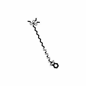 CCO[Si](CCCCCCCCCCCCSSSSSSSc1nc2ccccc2s1)(OCC)OCC